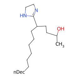 CCCCCCCCCCCCCCCCC(CCC(C)O)C1=NCCN1